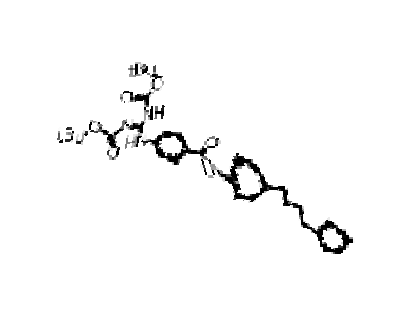 CC(C)(C)OC(=O)/N=C(/NC(=O)OC(C)(C)C)Nc1ccc(C(=O)Oc2ccc(CCCCc3ccccc3)cc2)cc1